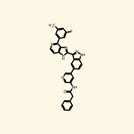 Cc1cc(F)cc(-c2nccc3[nH]c(-c4n[nH]c5ccc(-c6cncc(NC(=O)Cc7ccccc7)c6)cc45)nc23)c1